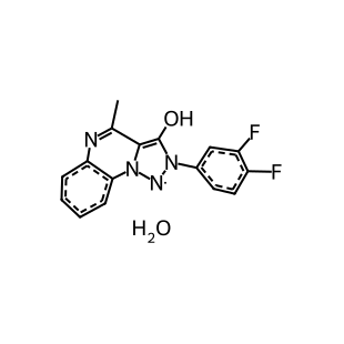 CC1=Nc2ccccc2N2[N]N(c3ccc(F)c(F)c3)C(O)=C12.O